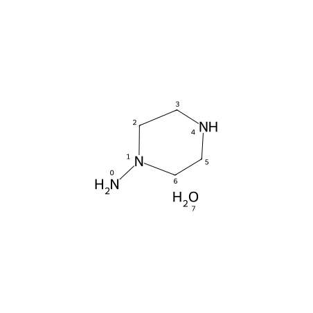 NN1CCNCC1.O